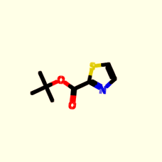 CC(C)(C)OC(=O)c1nccs1